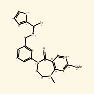 [CH2]CC(OCc1cccc(N2CCN(C)c3nc(OC)ncc3C2=O)c1)c1cccs1